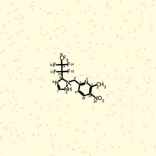 Cc1nc(CN2NC=NC2C(F)(F)C(F)(F)C(F)(F)F)ccc1[N+](=O)[O-]